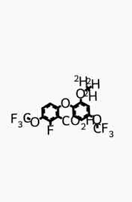 [2H]C([2H])([2H])Oc1cc(OC(F)(F)F)ccc1Oc1ccc(OC(F)(F)F)c(F)c1C(=O)O